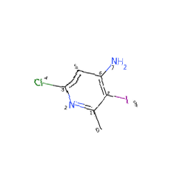 Cc1nc(Cl)cc(N)c1I